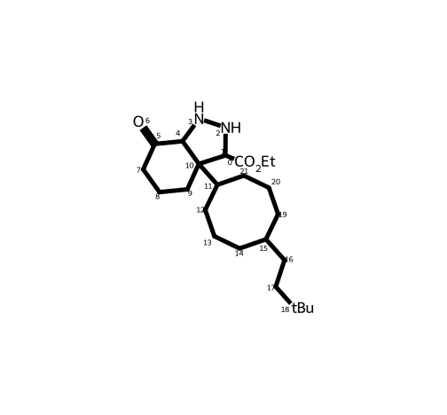 CCOC(=O)C1NNC2C(=O)CCCC21C1CCCC(CCC(C)(C)C)CCC1